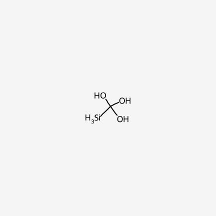 OC(O)(O)[SiH3]